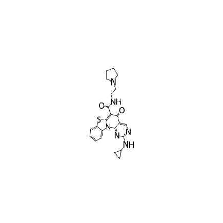 O=C(NCCN1CCCC1)c1c(=O)c2cnc(NC3CC3)nc2n2c1sc1ccccc12